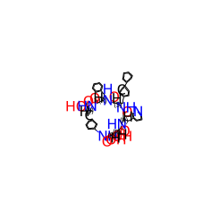 O=C(O)[C@@H]1Cc2ccc(cc2)NC(=O)[C@H](O)[C@@H](O)C(=O)N[C@H](Cc2cccnc2)C(=O)N[C@@H](Cc2ccc(-c3ccccc3)cc2)C(=O)N[C@H](Cc2ccccc2)C(=O)N1